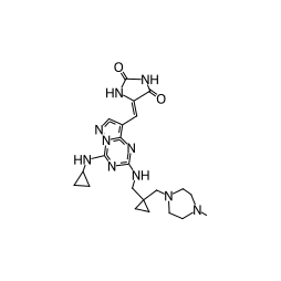 CN1CCN(CC2(CNc3nc(NC4CC4)n4ncc(/C=C5\NC(=O)NC5=O)c4n3)CC2)CC1